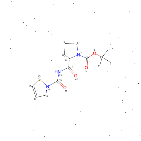 CC(C)(C)OC(=O)N1CCC[C@H]1C(=O)NC(=O)N1CC=CS1